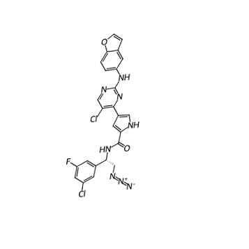 [N-]=[N+]=NC[C@@H](NC(=O)c1cc(-c2nc(Nc3ccc4occc4c3)ncc2Cl)c[nH]1)c1cc(F)cc(Cl)c1